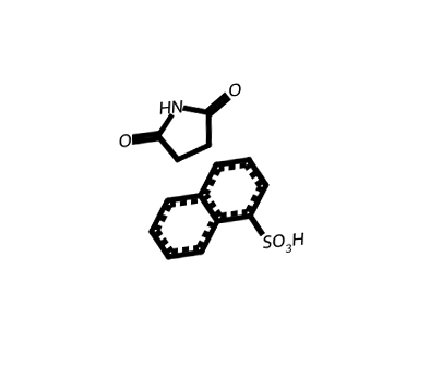 O=C1CCC(=O)N1.O=S(=O)(O)c1cccc2ccccc12